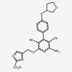 CCOC(=O)c1nc(CSc2nc(N)c(C#N)c(-c3ccc(OC4CCOC4)cc3)c2C#N)cs1